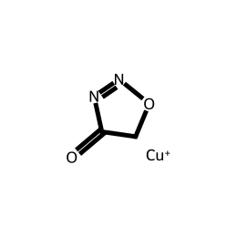 O=C1CON=N1.[Cu+]